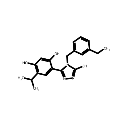 CCc1cccc(Cn2c(S)nnc2-c2cc(C(C)C)c(O)cc2O)c1